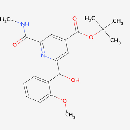 CNC(=O)c1cc(C(=O)OC(C)(C)C)cc(C(O)c2ccccc2OC)n1